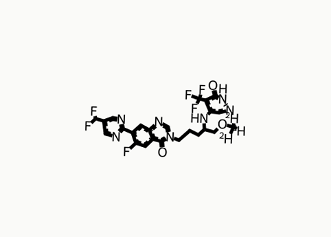 [2H]C([2H])([2H])OCC(CCCn1cnc2cc(-c3ncc(C(F)F)cn3)c(F)cc2c1=O)Nc1cn[nH]c(=O)c1C(F)(F)F